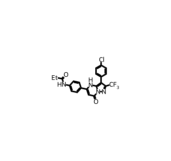 CCC(=O)Nc1ccc(-c2cc(=O)n3nc(C(F)(F)F)c(-c4ccc(Cl)cc4)c3[nH]2)cc1